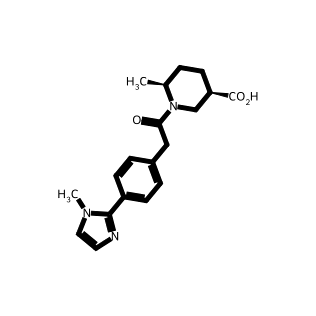 C[C@H]1CC[C@@H](C(=O)O)CN1C(=O)Cc1ccc(-c2nccn2C)cc1